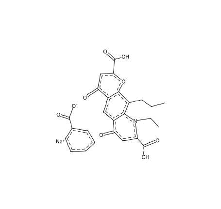 CCCc1c2oc(C(=O)O)cc(=O)c2cc2c(=O)cc(C(=O)O)n(CC)c12.O=C([O-])c1ccccc1.[Na+]